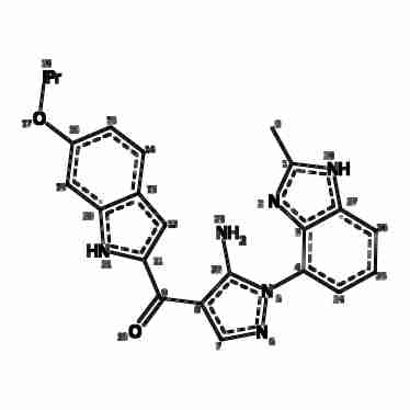 Cc1nc2c(-n3ncc(C(=O)c4cc5ccc(OC(C)C)cc5[nH]4)c3N)cccc2[nH]1